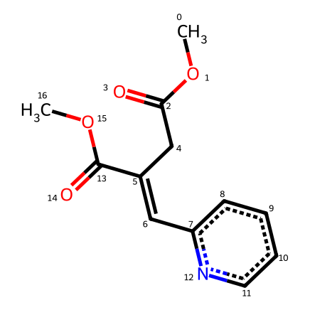 COC(=O)C/C(=C\c1ccccn1)C(=O)OC